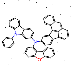 c1ccc(-n2c3ccccc3c3ccc(N(c4ccc5c(c4)-c4c6ccccc6cc6cccc-5c46)c4cccc5oc6ccccc6c45)cc32)cc1